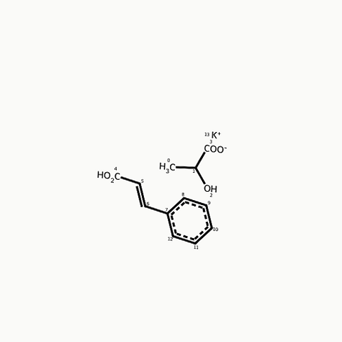 CC(O)C(=O)[O-].O=C(O)C=Cc1ccccc1.[K+]